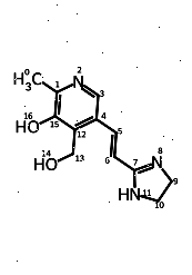 Cc1ncc(/C=C/C2=NCCN2)c(CO)c1O